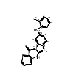 O=c1c2ccccc2[nH]c2nc3ccc(Nc4ccccc4Cl)cc3n12